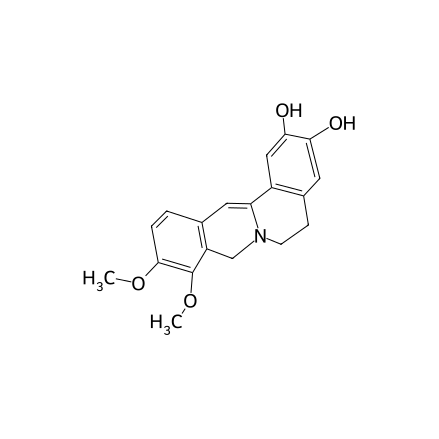 COc1ccc2c(c1OC)CN1CCc3cc(O)c(O)cc3C1=C2